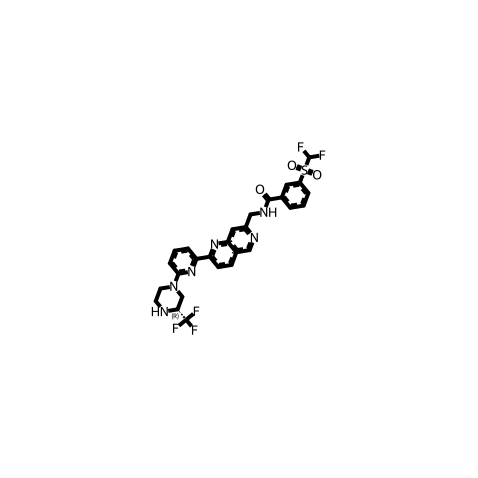 O=C(NCc1cc2nc(-c3cccc(N4CCN[C@@H](C(F)(F)F)C4)n3)ccc2cn1)c1cccc(S(=O)(=O)C(F)F)c1